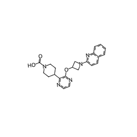 O=C(O)N1CCC(c2nccnc2OC2CN(c3ccc4ccccc4n3)C2)CC1